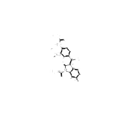 CC(=O)Nc1ccc(C(Cl)=C2C(=O)N(C(C)=O)c3cc(Cl)ccc32)cc1[N+](=O)[O-]